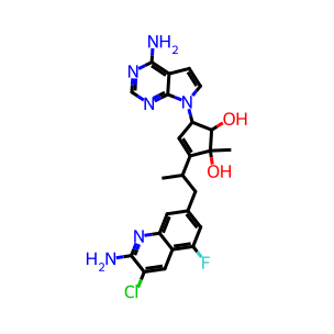 CC(Cc1cc(F)c2cc(Cl)c(N)nc2c1)C1=CC(n2ccc3c(N)ncnc32)C(O)C1(C)O